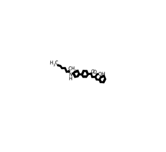 C=C(CCCCCC)Nc1ccc(-c2ccc(C(=O)CC(Cc3ccccc3)C(=O)O)cc2)cc1